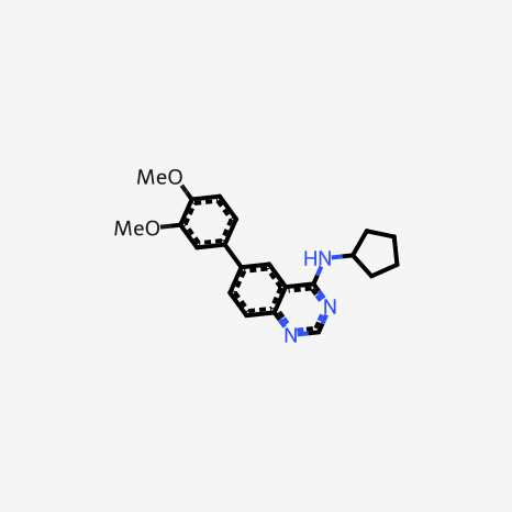 COc1ccc(-c2ccc3ncnc(NC4CCCC4)c3c2)cc1OC